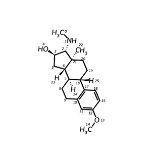 CN[C@H]1[C@H](O)C[C@H]2[C@@H]3CCc4cc(OC)ccc4[C@H]3CC[C@@]21C